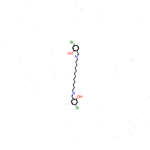 Oc1cc(Br)ccc1C=NCCCCCCCCCCCCN=Cc1ccc(Br)cc1O